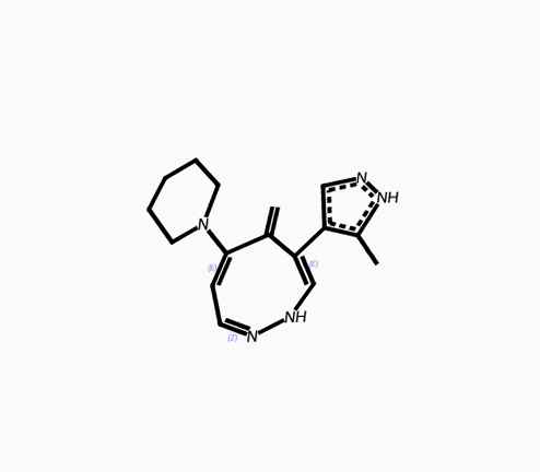 C=C1/C(c2cn[nH]c2C)=C\N/N=C\C=C/1N1CCCCC1